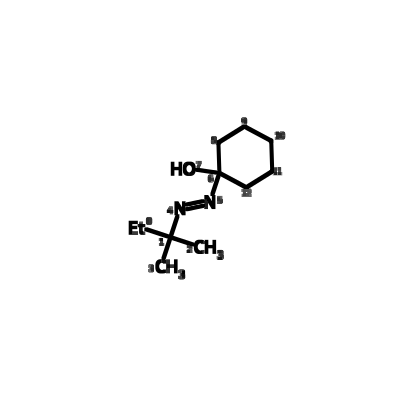 CCC(C)(C)N=NC1(O)CCCCC1